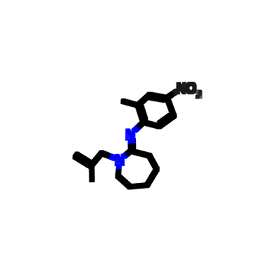 C=C(C)CN1CCCCCC1=Nc1ccc([N+](=O)[O-])cc1C